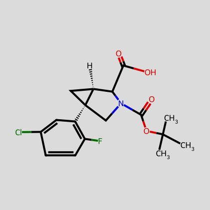 CC(C)(C)OC(=O)N1C[C@@]2(c3cc(Cl)ccc3F)C[C@H]2C1C(=O)O